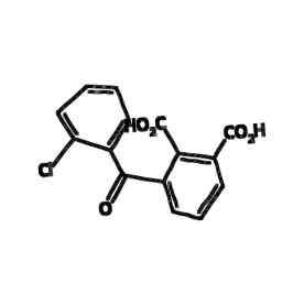 O=C(O)c1cccc(C(=O)c2ccccc2Cl)c1C(=O)O